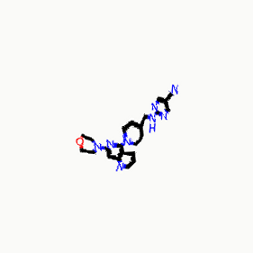 N#Cc1cnc(NCC2CCN(c3nc(N4CCOCC4)cc4ncccc34)CC2)nc1